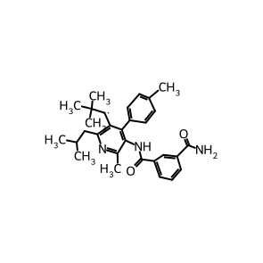 Cc1ccc(-c2c([CH]C(C)(C)C)c(CC(C)C)nc(C)c2NC(=O)c2cccc(C(N)=O)c2)cc1